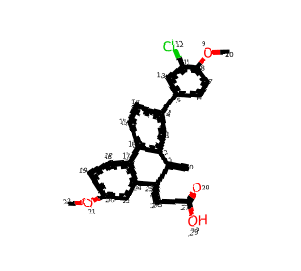 C=C1c2cc(-c3ccc(OC)c(Cl)c3)ccc2-c2ccc(OC)cc2C1CC(=O)O